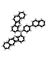 c1ccc2cc(-c3ccc(N(c4cccc5c4oc4cc6ccccc6cc45)c4cccc5c4oc4c6ccccc6ccc54)cc3)ccc2c1